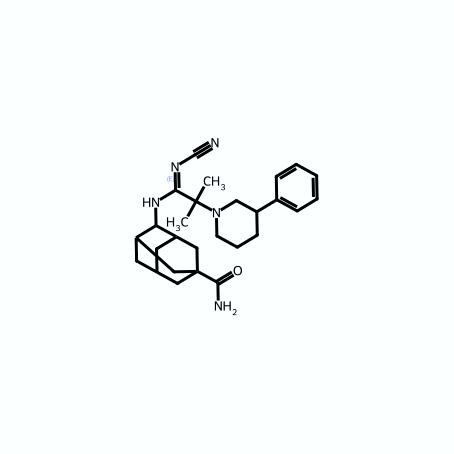 CC(C)(/C(=N\C#N)NC1C2CC3CC1CC(C(N)=O)(C3)C2)N1CCCC(c2ccccc2)C1